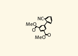 COC(=O)c1cc(C(=O)OC)cc(-c2ccccc2C#N)c1